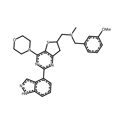 COc1cccc(CN(C)CC2Cc3nc(-c4cccc5[nH]ncc45)nc(N4CCOCC4)c3S2)c1